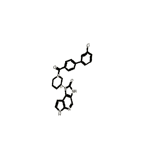 O=C(c1ccc(-c2cccc(Cl)c2)cc1)N1CCC[C@@H](n2c(=O)[nH]c3cnc4[nH]ccc4c32)C1